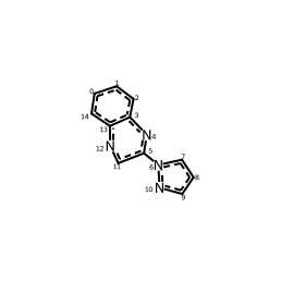 c1ccc2nc(-n3cccn3)cnc2c1